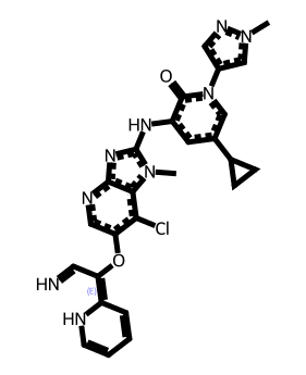 Cn1cc(-n2cc(C3CC3)cc(Nc3nc4ncc(O/C(C=N)=C5\C=CC=CN5)c(Cl)c4n3C)c2=O)cn1